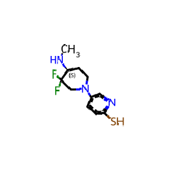 CN[C@H]1CCN(c2ccc(S)nc2)CC1(F)F